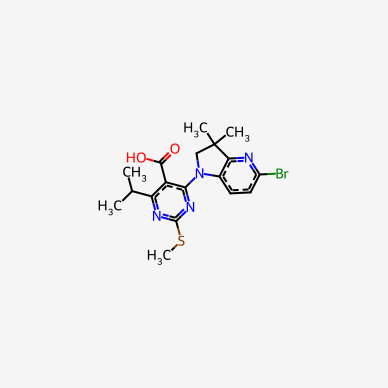 CSc1nc(C(C)C)c(C(=O)O)c(N2CC(C)(C)c3nc(Br)ccc32)n1